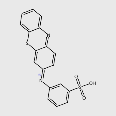 O=S(=O)(O)c1cccc(/N=c2\ccc3nc4ccccc4sc-3c2)c1